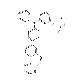 F[C](F)(F)[Cu].c1ccc(P(c2ccccc2)c2ccccc2)cc1.c1cnc2c(c1)ccc1cccnc12